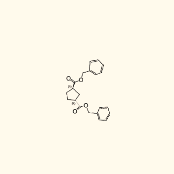 O=C(OCc1ccccc1)[C@@H]1CC[C@@H](C(=O)OCc2ccccc2)C1